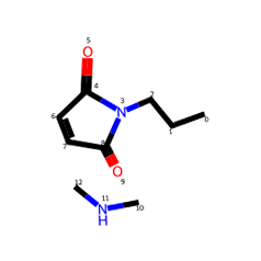 CCCN1C(=O)C=CC1=O.CNC